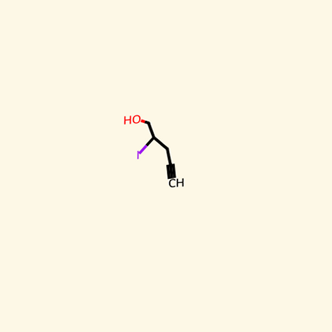 C#CCC(I)CO